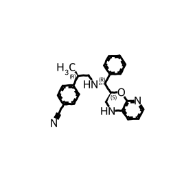 C[C@@H](CN[C@H](c1ccccc1)[C@@H]1CNc2cccnc2O1)c1ccc(C#N)cc1